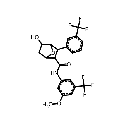 COc1cc(NC(=O)C2C3CC(O)C(O3)C2c2cccc(C(F)(F)F)c2)cc(C(F)(F)F)c1